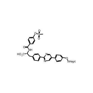 CCCCCCCOc1ccc(-c2cnc(-c3ccc(C[C@H](NC(=O)c4ccc(OS(C)(=O)=O)cc4)C(=O)O)cc3)nc2)cc1